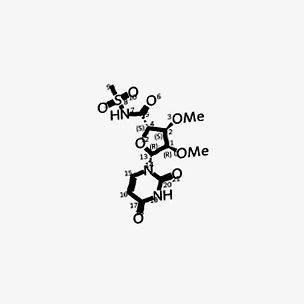 CO[C@@H]1[C@H](OC)[C@@H](C(=O)NS(C)(=O)=O)O[C@H]1n1ccc(=O)[nH]c1=O